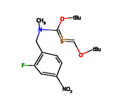 CN(Cc1ccc([N+](=O)[O-])cc1F)C(OC(C)(C)C)=S=COC(C)(C)C